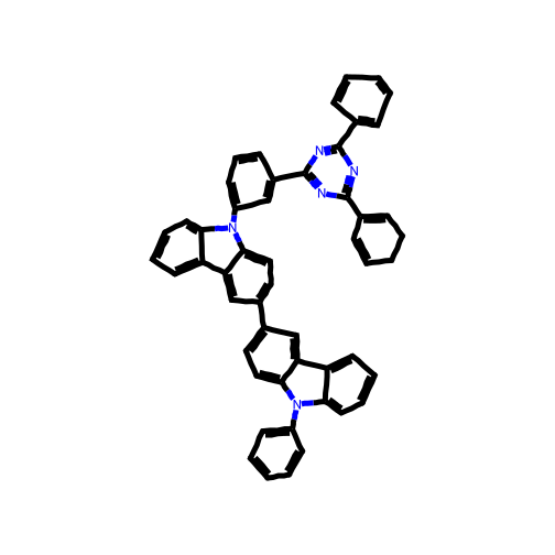 C1=CC(c2nc(-c3ccccc3)nc(-c3cccc(-n4c5ccccc5c5cc(-c6ccc7c(c6)c6ccccc6n7-c6ccccc6)ccc54)c3)n2)=CCC1